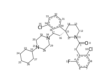 O=C(Cc1c(F)cccc1Cl)N1CCC[C@](CCN2CCN(C3CCCCC3)CC2)(c2cccc(Cl)c2)C1